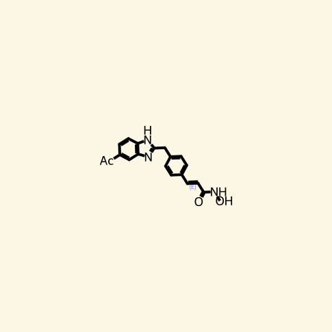 CC(=O)c1ccc2[nH]c(Cc3ccc(/C=C/C(=O)NO)cc3)nc2c1